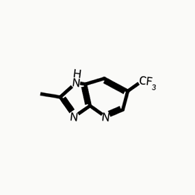 Cc1nc2ncc(C(F)(F)F)cc2[nH]1